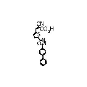 N#CC(=Cc1ccc(-c2nnc(-c3ccc(-c4ccccc4)cc3)o2)s1)C(=O)O